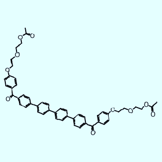 CC(=O)OCCOCCOc1ccc(C(=O)c2ccc(-c3ccc(-c4ccc(-c5ccc(C(=O)c6ccc(OCCOCCOC(C)=O)cc6)cc5)cc4)cc3)cc2)cc1